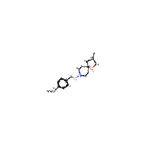 COc1ccc(CON2CCC3(CC2)CC(C)CO3)cc1